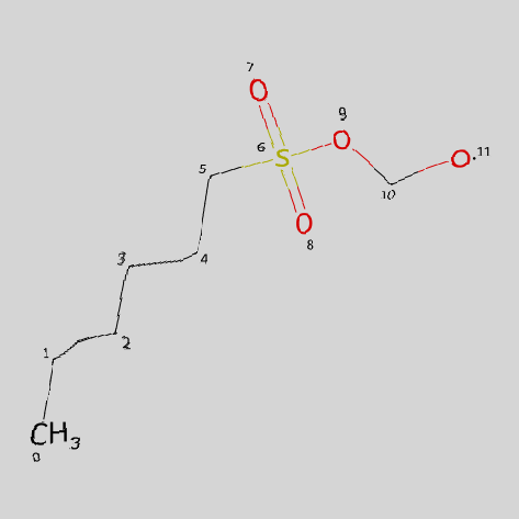 CCCCCCS(=O)(=O)OC[O]